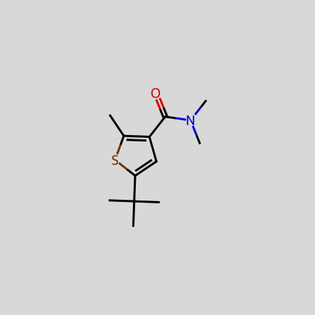 Cc1sc(C(C)(C)C)cc1C(=O)N(C)C